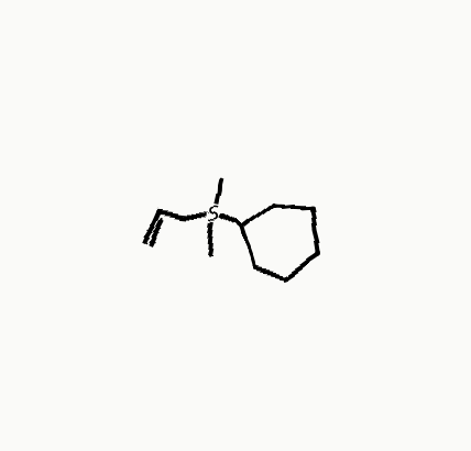 C=CS(C)(C)C1CCCCC1